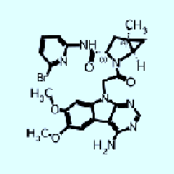 COc1cc2c3c(N)ncnc3n(CC(=O)N3[C@H](C(=O)Nc4cccc(Br)n4)C[C@@]4(C)C[C@@H]34)c2cc1OC